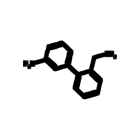 NCc1ccccc1-c1cccc(N)c1